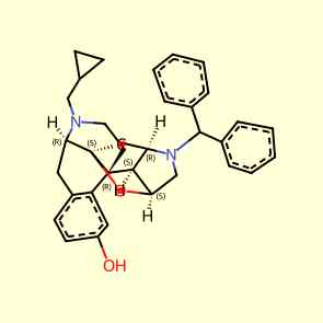 Oc1ccc2c(c1)[C@]13CCN(CC4CC4)[C@H](C2)[C@]12CC[C@@H]1[C@H]3[C@@H](CN1C(c1ccccc1)c1ccccc1)O2